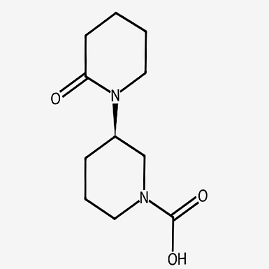 O=C(O)N1CCC[C@@H](N2CCCCC2=O)C1